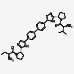 CC[C@H](N)C(=O)N1CCC[C@H]1c1ncc(-c2ccc(-c3ccc(-c4cnc([C@@H]5CCCN5C(=O)[C@@H](N)C(C)C)[nH]4)cc3)cc2)[nH]1